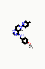 Cc1ccc(N2CCc3ncnc(NCc4ccc(OC(F)(F)F)cc4)c3C2)nc1